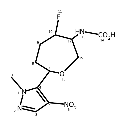 Cn1ncc([N+](=O)[O-])c1C1CCC(F)C(NC(=O)O)CO1